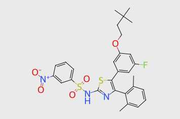 Cc1cccc(C)c1-c1nc(NS(=O)(=O)c2cccc([N+](=O)[O-])c2)sc1-c1cc(F)cc(OCCC(C)(C)C)c1